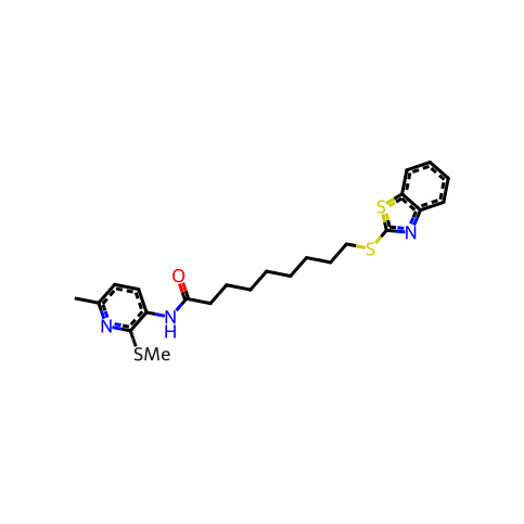 CSc1nc(C)ccc1NC(=O)CCCCCCCCSc1nc2ccccc2s1